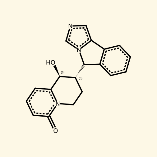 O=c1cccc2n1CC[C@@H](C1c3ccccc3-c3cncn31)[C@@H]2O